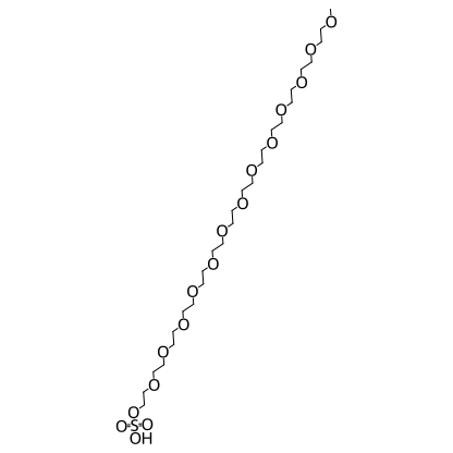 COCCOCCOCCOCCOCCOCCOCCOCCOCCOCCOCCOCCOCCOS(=O)(=O)O